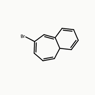 BrC1=CC=CC2C=CC=CC2=C1